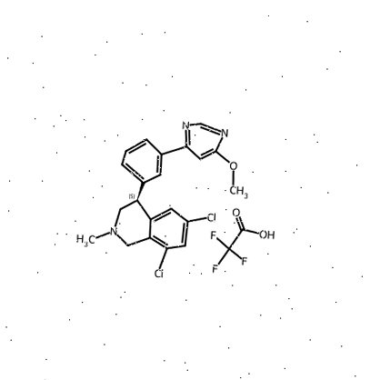 COc1cc(-c2cccc([C@@H]3CN(C)Cc4c(Cl)cc(Cl)cc43)c2)ncn1.O=C(O)C(F)(F)F